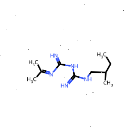 CCC(C)CNC(=N)NC(=N)N=C(C)C